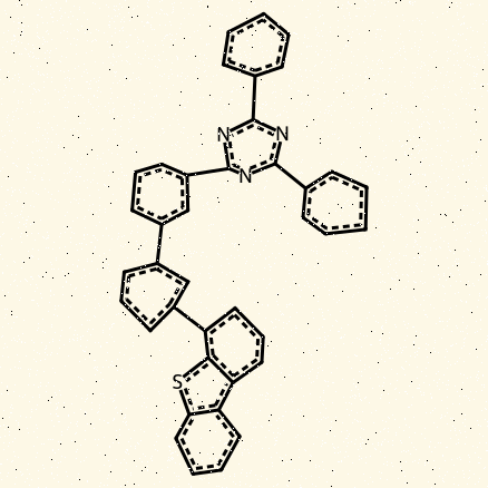 c1ccc(-c2nc(-c3ccccc3)nc(-c3cccc(-c4cccc(-c5cccc6c5sc5ccccc56)c4)c3)n2)cc1